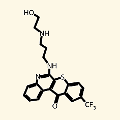 O=c1c2cc(C(F)(F)F)ccc2sc2c(NCCCNCCO)nc3ccccc3c12